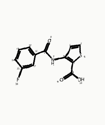 O=C(Nc1ccsc1C(=O)O)c1cccc(F)c1